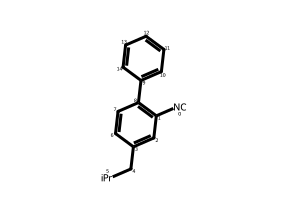 [C-]#[N+]c1cc(CC(C)C)ccc1-c1ccccc1